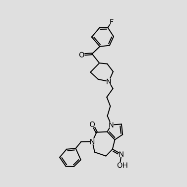 O=C(c1ccc(F)cc1)C1CCN(CCCCn2ccc3c2C(=O)N(Cc2ccccc2)CCC3=NO)CC1